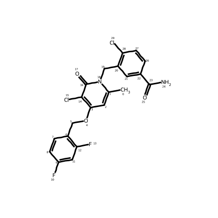 Cc1cc(OCc2ccc(F)cc2F)c(Cl)c(=O)n1Cc1cc(C(N)=O)ccc1Cl